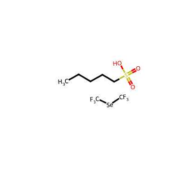 CCCCCS(=O)(=O)O.FC(F)(F)[Se]C(F)(F)F